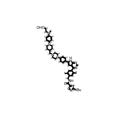 Cc1cc(-c2ncnc3[nH]c(-c4ccc(N5CCN(CC6CCN(c7ccc(N(C)CCC=O)cc7)CC6)CC5)cc4)cc23)c(F)cc1CNC(=O)c1nc(C(C)(C)C)no1